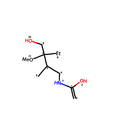 C=C(O)NCC(C)C(CC)(CO)OC